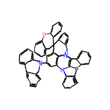 c1ccc2c(c1)Oc1ccccc1C21c2ccccc2N2C3=C4B(c5ccccc53)c3ccccc3N4c3cc(-n4c5ccccc5c5ccccc54)cc1c32